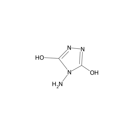 Nn1c(O)nnc1O